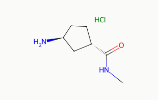 CNC(=O)[C@H]1CC[C@H](N)C1.Cl